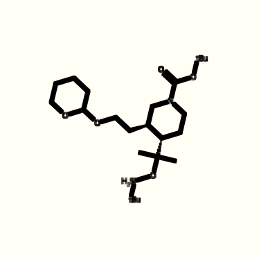 CC(C)(C)OC(=O)N1CC[C@H](C(C)(C)O[SiH2]C(C)(C)C)[C@@H](CCOC2CCCCO2)C1